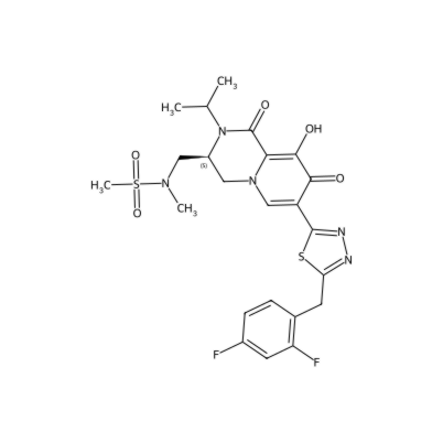 CC(C)N1C(=O)c2c(O)c(=O)c(-c3nnc(Cc4ccc(F)cc4F)s3)cn2C[C@H]1CN(C)S(C)(=O)=O